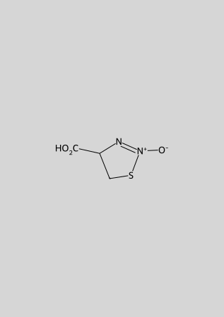 O=C(O)C1CS[N+]([O-])=N1